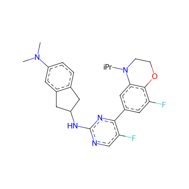 CC(C)N1CCOc2c(F)cc(-c3nc(NC4Cc5ccc(N(C)C)cc5C4)ncc3F)cc21